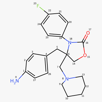 Nc1ccc(CC2(CN3CCCCC3)COC(=O)N2c2ccc(F)cc2)cc1